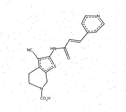 N#Cc1c(NC(=O)C=Cc2ccncc2)sc2c1CCN(C(=O)O)C2